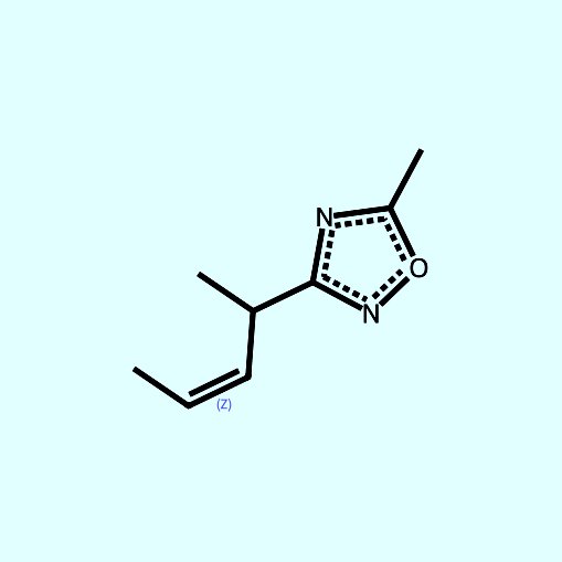 C/C=C\C(C)c1noc(C)n1